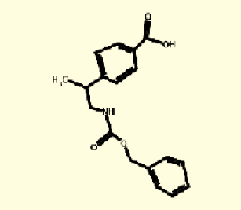 CC(CNC(=O)OCc1ccccc1)c1ccc(C(=O)O)cc1